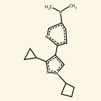 CN(C)c1ccc(-c2cn(C3CCC3)nc2C2CC2)nc1